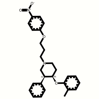 Cc1ccccc1O[C@@H]1CCN(CCCOc2ccc([N+](=O)[O-])cc2)C[C@@H]1c1ccccc1